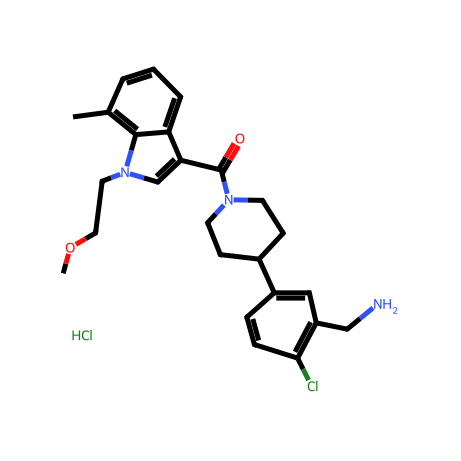 COCCn1cc(C(=O)N2CCC(c3ccc(Cl)c(CN)c3)CC2)c2cccc(C)c21.Cl